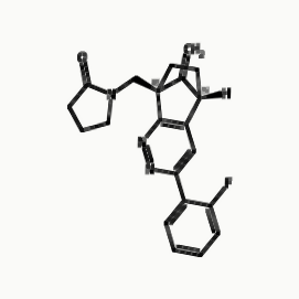 C=C1[C@@H]2CC[C@@]1(CN1CCCC1=O)c1nnc(-c3ccccc3F)cc12